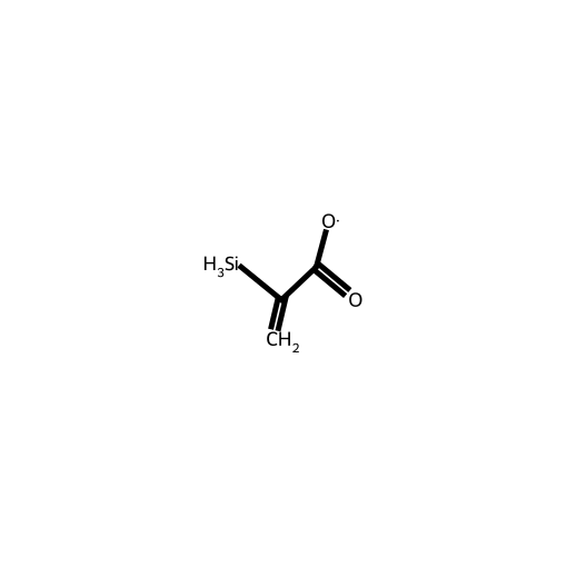 C=C([SiH3])C([O])=O